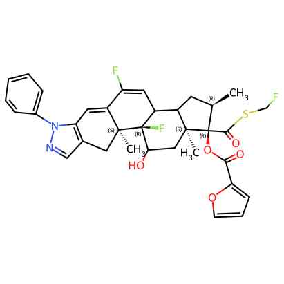 C[C@@H]1CC2C3C=C(F)C4=Cc5c(cnn5-c5ccccc5)C[C@]4(C)[C@@]3(F)C(O)C[C@]2(C)[C@@]1(OC(=O)c1ccco1)C(=O)SCF